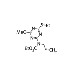 C=CCN(C(=O)OCC)c1nc(OC)nc(SCC)n1